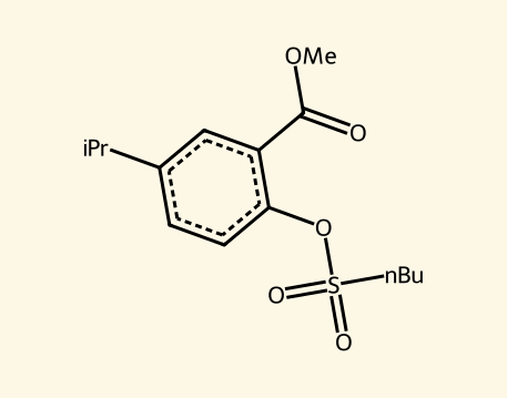 CCCCS(=O)(=O)Oc1ccc(C(C)C)cc1C(=O)OC